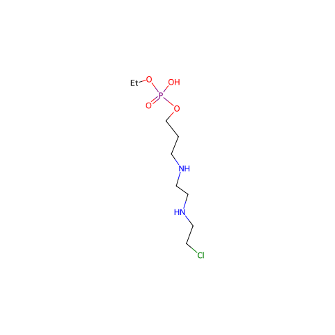 CCOP(=O)(O)OCCCNCCNCCCl